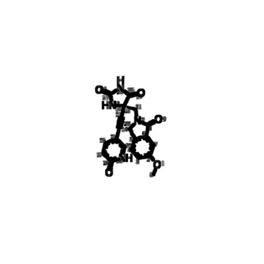 COc1ccc2c(c1)C(=O)N(C[C@@]1(C#Cc3ccc(=O)[nH]c3)NC(=O)NC1=O)C2